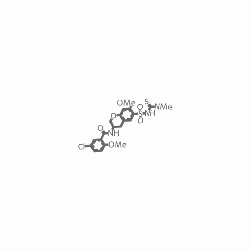 CNC(=S)NS(=O)(=O)c1cc2c(cc1OC)OCC(NC(=O)c1cc(Cl)ccc1OC)C2